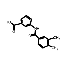 Cc1ccc(C(=O)Nc2cccc(C(=O)O)c2)cc1C